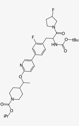 CC(C)OC(=O)N1CCC(C(C)Oc2ccc(-c3ccc(CC(NC(=O)OC(C)(C)C)C(=O)N4CCC(F)C4)c(F)c3)cn2)CC1